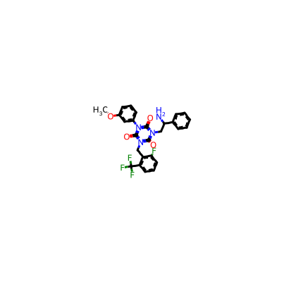 COc1cccc(-n2c(=O)n(Cc3c(F)cccc3C(F)(F)F)c(=O)n(CC(N)c3ccccc3)c2=O)c1